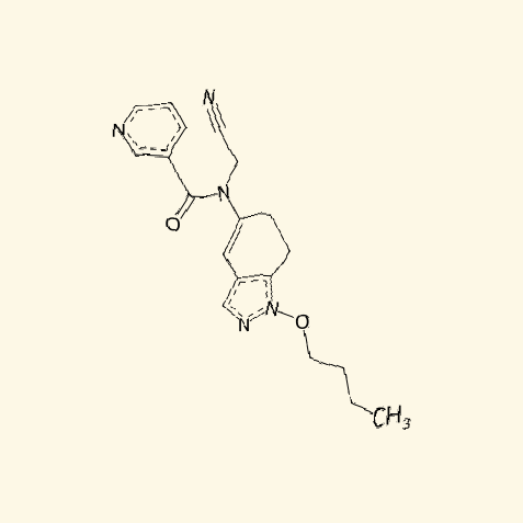 CCCCOn1ncc2c1CCC(N(CC#N)C(=O)c1cccnc1)=C2